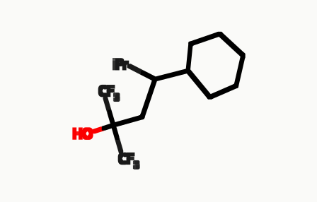 CC(C)C(CC(O)(C(F)(F)F)C(F)(F)F)C1CCCCC1